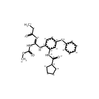 CCC(=O)N=C(NC(=O)OC)Nc1ccc(Sc2ccccc2)cc1NC(=O)C1CCCC1